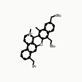 Cc1c2c(c(CC(C)(C)C)c3ccc(CC(C)(C)C)cc13)Oc1cc3c(CC(C)C)cccc3c3cc[n+](C)c-2c13